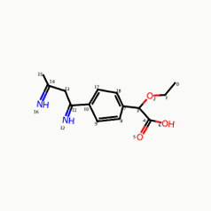 CCOC(C(=O)O)c1ccc(C(=N)CC(C)=N)cc1